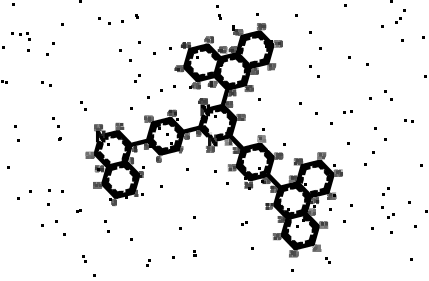 c1ccc2c(-c3ccc(-c4nc(-c5ccc(-c6cc7ccccc7c7ccccc67)cc5)cc(-c5cc6ccccc6c6ccccc56)n4)cc3)cncc2c1